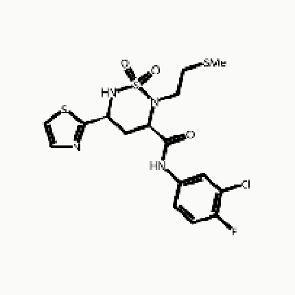 CSCCN1[C@@H](C(=O)Nc2ccc(F)c(Cl)c2)C[C@@H](c2nccs2)NS1(=O)=O